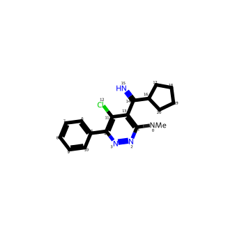 CNc1nnc(-c2ccccc2)c(Cl)c1C(=N)C1CCCC1